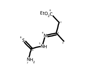 CCOC(=O)CC(C)=NNC(N)=S